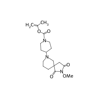 C=C(C)OC(=O)N1CCC(N2CCCC3(CC(=O)N(OC)C3=O)C2)CC1